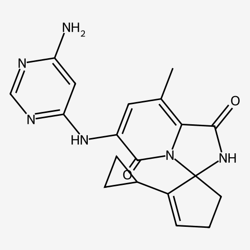 Cc1cc(Nc2cc(N)ncn2)c(=O)n2c1C(=O)NC21CCC=C1C1CC1